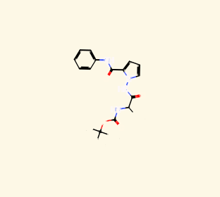 CC(NC(=O)OC(C)(C)C)C(=O)Nn1cccc1C(=O)Nc1ccccc1